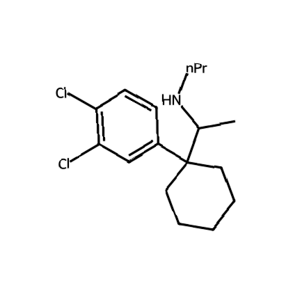 CCCNC(C)C1(c2ccc(Cl)c(Cl)c2)CCCCC1